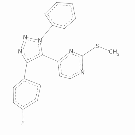 CSc1nccc(-c2c(-c3ccc(F)cc3)nnn2-c2ccccc2)n1